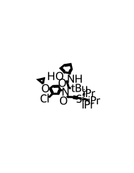 CC(C)[Si](C#CC(=O)N(c1ccc(OC2CC2)c(Cl)c1)C(C(=O)Nc1ccccc1O)C(C)(C)C)(C(C)C)C(C)C